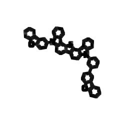 c1cc(-c2ccc3oc4ccccc4c3c2)cc(-n2c3ccccc3c3c4sc5c(ccc6c5c5ccccc5n6-c5ccc6oc7ccccc7c6c5)c4ccc32)c1